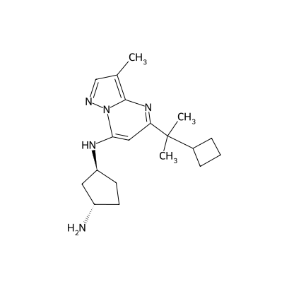 Cc1cnn2c(N[C@H]3CC[C@H](N)C3)cc(C(C)(C)C3CCC3)nc12